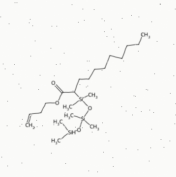 C=CCCOC(=O)C(CCCCCCCCC)[Si](C)(C)O[Si](C)(C)O[SiH](C)C